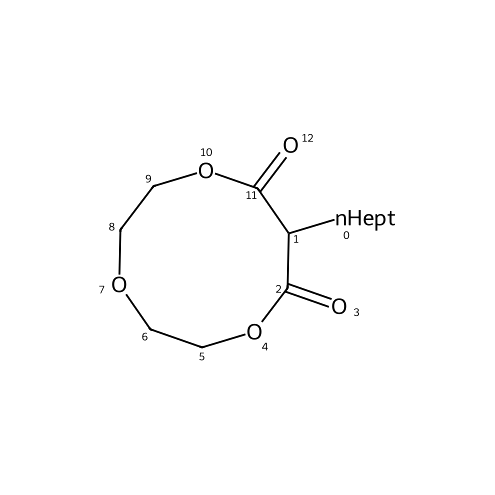 CCCCCCCC1C(=O)OCCOCCOC1=O